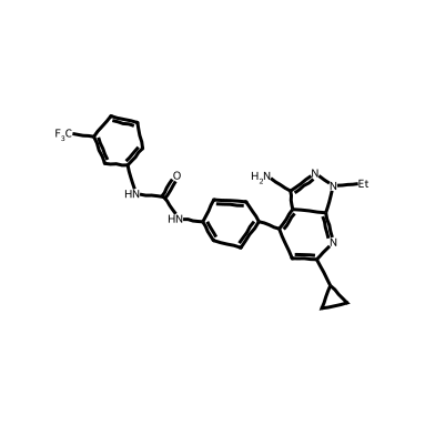 CCn1nc(N)c2c(-c3ccc(NC(=O)Nc4cccc(C(F)(F)F)c4)cc3)cc(C3CC3)nc21